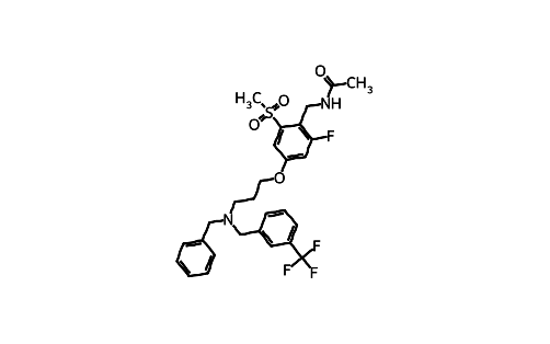 CC(=O)NCc1c(F)cc(OCCCN(Cc2ccccc2)Cc2cccc(C(F)(F)F)c2)cc1S(C)(=O)=O